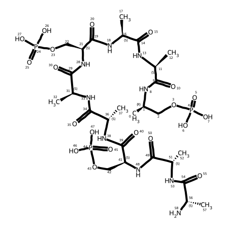 C[C@H](COP(=O)(O)O)NC(=O)[C@H](C)NC(=O)[C@H](C)NC(=O)[C@H](COP(=O)(O)O)NC(=O)[C@H](C)NC(=O)[C@H](C)NC(=O)[C@H](COP(=O)(O)O)NC(=O)[C@H](C)NC(=O)[C@H](C)N